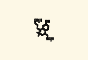 CC1(C)CC(CS(=O)(=O)O)c2ccc(O)cc2N1CCCC(=O)O